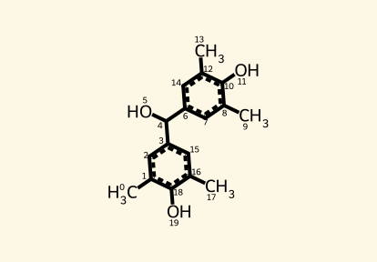 Cc1cc(C(O)c2cc(C)c(O)c(C)c2)cc(C)c1O